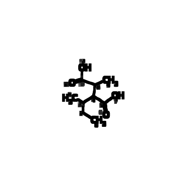 CCC(C)C(C(=O)O)C(C)C(=O)O